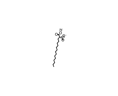 CCCCCCCCCCCCCCC(C(=O)O)[N+](=O)[O-]